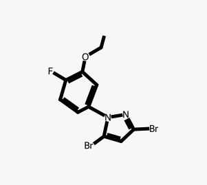 CCOc1cc(-n2nc(Br)cc2Br)ccc1F